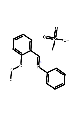 FSOc1ccccc1/C=N/c1ccccc1.O=S(=O)(O)F